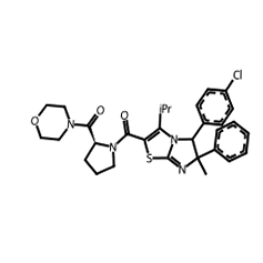 CC(C)C1=C(C(=O)N2CCC[C@H]2C(=O)N2CCOCC2)SC2=NC(C)(c3ccccc3)C(c3ccc(Cl)cc3)N21